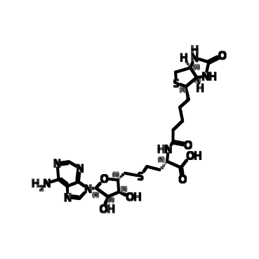 Nc1ncnc2c1ncn2[C@@H]1O[C@H](CSCC[C@H](NC(=O)CCCC[C@H]2SC[C@H]3NC(=O)N[C@H]32)C(=O)O)[C@@H](O)[C@H]1O